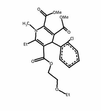 CCOCCOC(=O)C1=C(CC)N(C)C(C(=O)OC)=C(C(=O)OC)C1c1ccccc1Cl